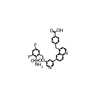 NS(=O)(=O)c1c(F)cc(F)cc1COc1cncc(-c2ccc3nccc(Cc4ccc(C(=O)O)cc4)c3c2)c1